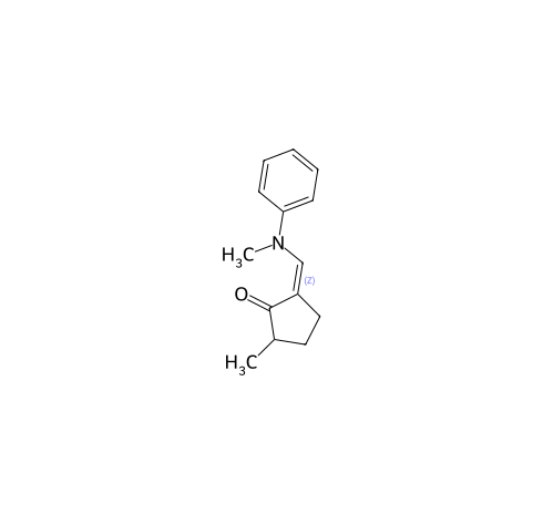 CC1CC/C(=C/N(C)c2ccccc2)C1=O